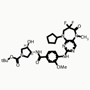 COc1cc(C(=O)N[C@@H]2CN(C(=O)OC(C)(C)C)C[C@H]2O)ccc1Nc1ncc2c(n1)N(C1CCCC1)CC(F)(F)C(=O)N2C